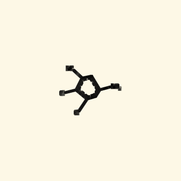 N#Cc1cc([N+](=O)[O-])cc(Cl)c1Cl